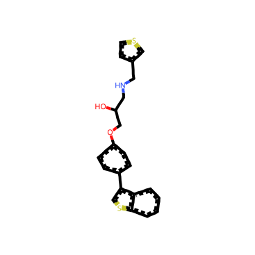 OC(CNCc1ccsc1)COc1ccc(-c2csc3ccccc23)cc1